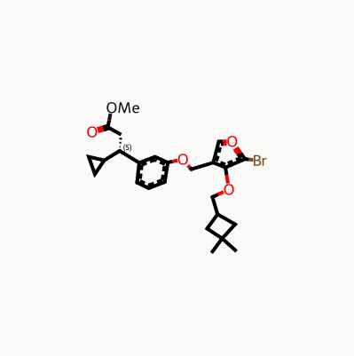 COC(=O)C[C@H](c1cccc(OCc2coc(Br)c2OCC2CC(C)(C)C2)c1)C1CC1